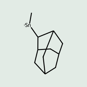 [CH3][Sn][CH]1C2CC3CC(C2)CC1C3